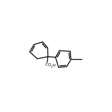 Cc1ccc(C2(C(=O)O)C=CC=CC2)cc1